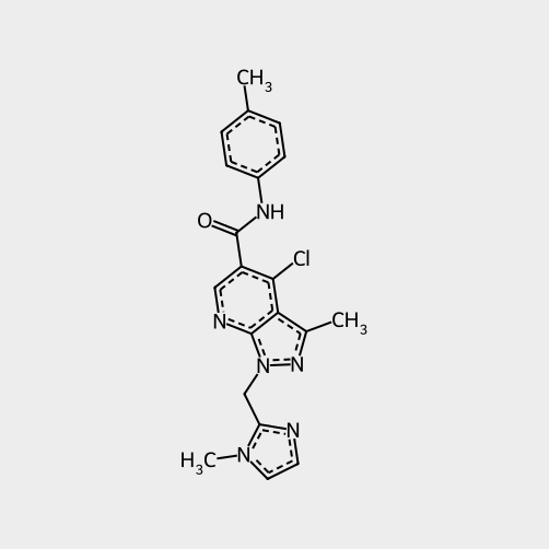 Cc1ccc(NC(=O)c2cnc3c(c(C)nn3Cc3nccn3C)c2Cl)cc1